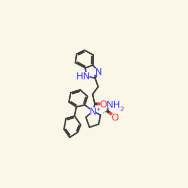 NC(=O)[C@@H]1CCC[N+]1(C(=O)CCc1nc2ccccc2[nH]1)c1ccccc1-c1ccccc1